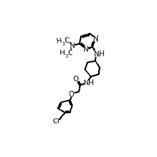 CN(C)c1ccnc(NC2CCC(NC(=O)COc3ccc(Cl)cc3)CC2)n1